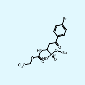 CCC(C)O[P@@](=O)(O)C(CC(=O)c1ccc(Br)cc1)NC(=O)OCC(Cl)(Cl)Cl